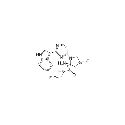 N[C@]1(C(=O)NCC(F)(F)F)C[C@@H](F)CN1c1ccnc(-c2c[nH]c3ncccc23)n1